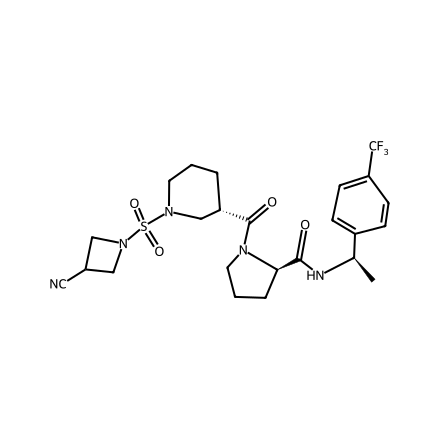 C[C@@H](NC(=O)[C@H]1CCCN1C(=O)[C@H]1CCCN(S(=O)(=O)N2CC(C#N)C2)C1)c1ccc(C(F)(F)F)cc1